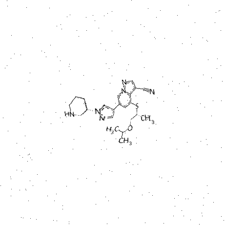 CC(C)OC[C@@H](C)Sc1cc(-c2cnn([C@H]3CCCNC3)c2)cn2ncc(C#N)c12